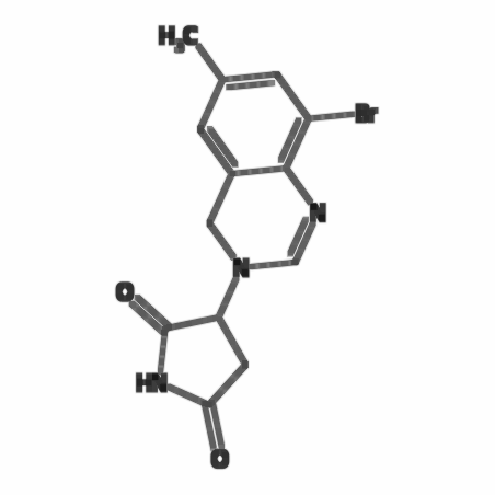 Cc1cc(Br)c2c(c1)CN(C1CC(=O)NC1=O)C=N2